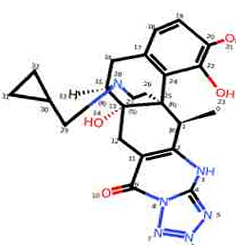 C[C@H]1c2[nH]c3nnnn3c(=O)c2C[C@@]2(O)[C@H]3Cc4ccc(O)c(O)c4[C@@]12CCN3CC1CC1